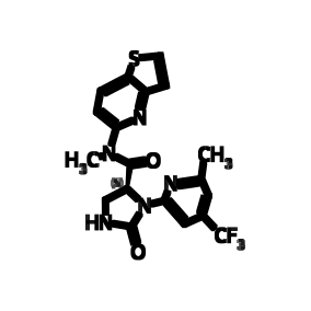 Cc1cc(C(F)(F)F)cc(N2C(=O)NC[C@H]2C(=O)N(C)c2ccc3sccc3n2)n1